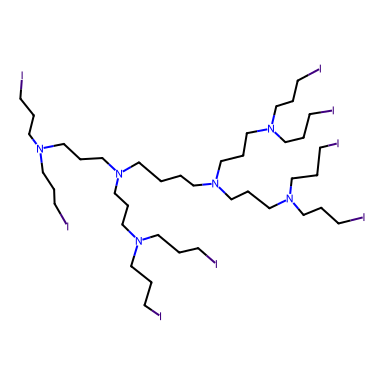 ICCCN(CCCI)CCCN(CCCCN(CCCN(CCCI)CCCI)CCCN(CCCI)CCCI)CCCN(CCCI)CCCI